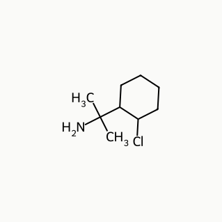 CC(C)(N)C1CCCCC1Cl